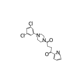 O=C(CCC(=O)N1CCN(c2cc(Cl)cc(Cl)c2)CC1)c1ccccn1